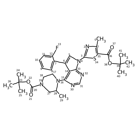 Cc1nc(-n2cc(-c3ccccc3F)c3c(N4CCN(C(=O)OC(C)(C)C)CC4C)ncnc32)sc1C(=O)OC(C)(C)C